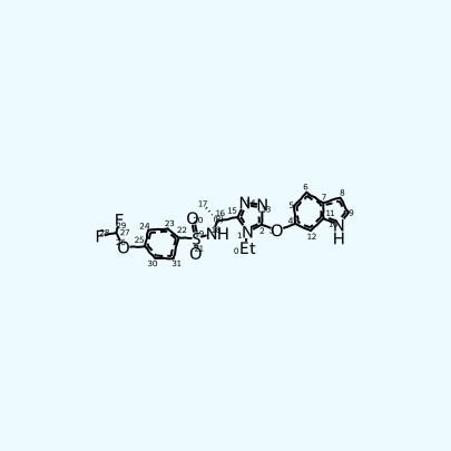 CCn1c(Oc2ccc3cc[nH]c3c2)nnc1[C@@H](C)NS(=O)(=O)c1ccc(OC(F)F)cc1